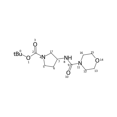 CC(C)(C)OC(=O)N1CCC(NC(=O)N2CCOCC2)C1